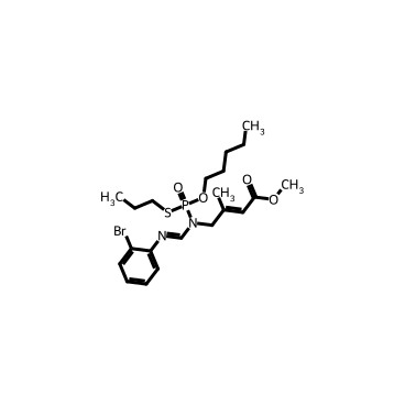 CCCCCOP(=O)(SCCC)N(C=Nc1ccccc1Br)CC(C)=CC(=O)OC